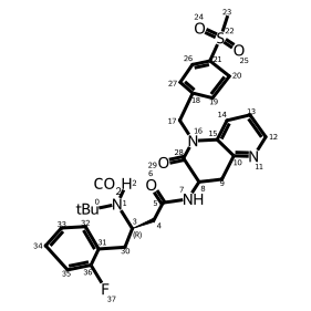 CC(C)(C)N(C(=O)O)[C@@H](CC(=O)NC1Cc2ncccc2N(Cc2ccc(S(C)(=O)=O)cc2)C1=O)Cc1ccccc1F